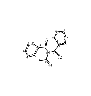 CC(=N)N(C(=O)c1ccccc1)C(=O)c1ccccc1